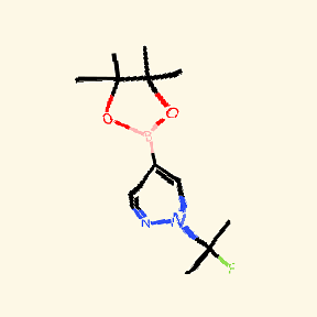 CC(C)(F)n1cc(B2OC(C)(C)C(C)(C)O2)cn1